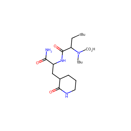 CC(C)(C)CC(C(=O)NC(CC1CCCNC1=O)C(N)=O)N(C(=O)O)C(C)(C)C